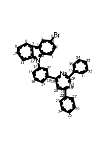 Brc1ccc2c(c1)c1ccccc1n2-c1cccc(-c2cc(-c3ccccc3)nc(-c3ccccc3)n2)c1